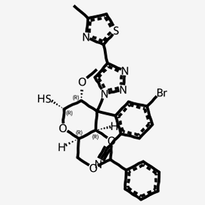 CO[C@H]1[C@@H](S)O[C@@H]2COC(c3ccccc3)O[C@@H]2C1(c1cc(Br)ccc1C#N)n1cc(-c2nc(C)cs2)nn1